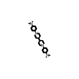 CN(C)c1ccc(N2C=CC(=C3C=CN(c4ccc(N(C)C)cc4)C=C3)C=C2)cc1